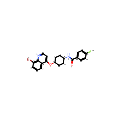 O=C(N[C@H]1CC[C@H](Oc2ccnc3c(Br)cccc23)CC1)c1ccc(F)cc1